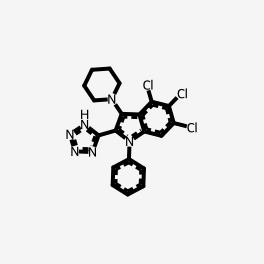 Clc1cc2c(c(Cl)c1Cl)c(N1CCCCC1)c(-c1nnn[nH]1)n2-c1ccccc1